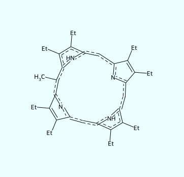 CCC1=C(CC)c2cc3[nH]c(c(C)c4nc(cc5[nH]c(cc1n2)c(CC)c5CC)C(CC)=C4CC)c(CC)c3CC